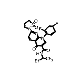 CCC(NC(=O)c1cn(-c2ccc(F)cc2F)c2nc(N3CCCS3(=O)=O)ccc2c1=O)C(F)(F)F